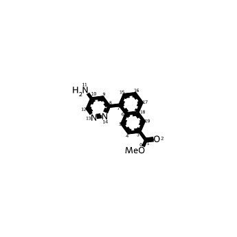 COC(=O)c1ccc2c(-c3cc(N)cnn3)cccc2c1